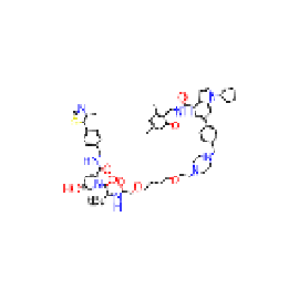 CC1=CC(C)=C(CNC(=O)c2cc(-c3ccc(CN4CCN(CCOCCCCOCC(=O)N[C@H](C(=O)N5C[C@H](O)C[C@H]5C(=O)NCc5ccc(-c6scnc6C)cc5)C(C)(C)C)CC4)cc3)cc3c2ccn3C2CCCC2)C(=O)C1